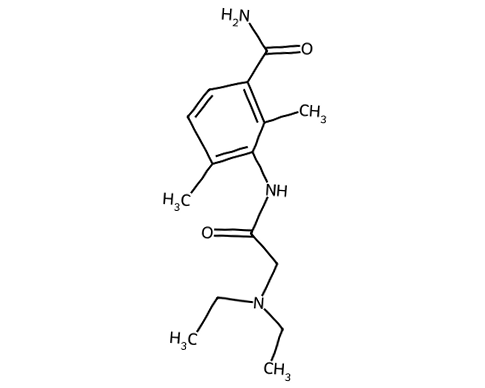 CCN(CC)CC(=O)Nc1c(C)ccc(C(N)=O)c1C